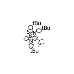 CC1CC2(c3cc4c5c(c3)N(c3ccc(C(C)(C)C)cc3)c3c(sc6ccc(C(C)(C)C)cc36)B5c3ccccc3N4c3ccc(C(C)(C)C)cc3)CCCC1C2